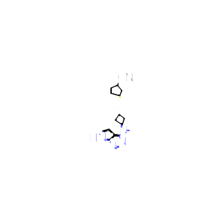 CN(c1ncnc2[nH]ccc12)[C@H]1C[C@@H](CSC2CCC(C#N)C2)C1